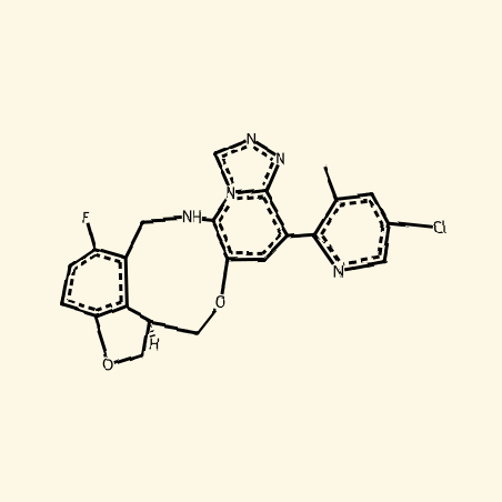 Cc1cc(Cl)cnc1-c1cc2c(n3cnnc13)NCc1c(F)ccc3c1[C@H](CO3)CO2